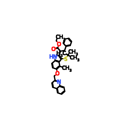 CCOC(=O)C(Cc1ccccc1)c1[nH]c2ccc(OCc3ccc4ccccc4n3)c(C)c2c1SC(C)(C)C